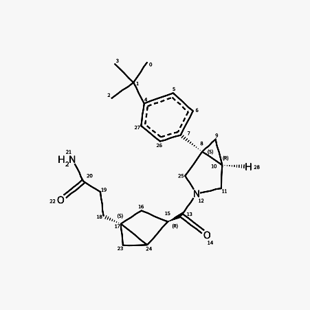 CC(C)(C)c1ccc([C@]23C[C@H]2CN(C(=O)[C@@H]2C[C@]4(CCC(N)=O)CC24)C3)cc1